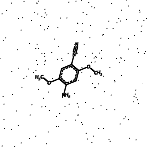 COc1cc([N+]#N)c(OC)cc1N